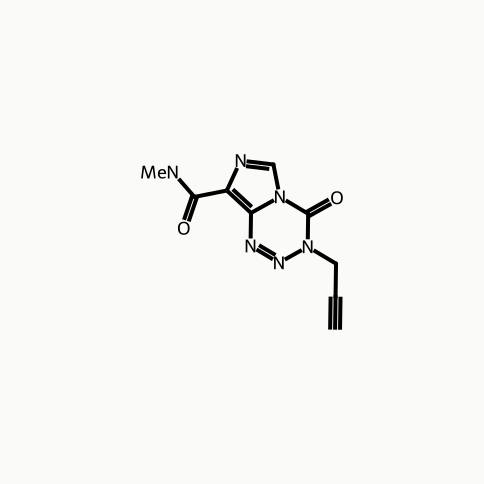 C#CCn1nnc2c(C(=O)NC)ncn2c1=O